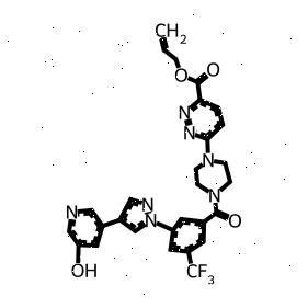 C=CCOC(=O)c1ccc(N2CCN(C(=O)c3cc(-n4cc(-c5cncc(O)c5)cn4)cc(C(F)(F)F)c3)CC2)nn1